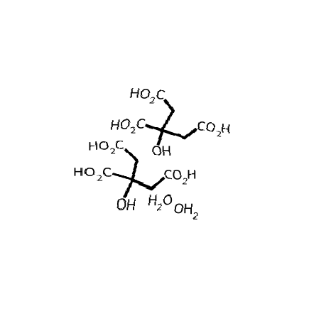 O.O.O=C(O)CC(O)(CC(=O)O)C(=O)O.O=C(O)CC(O)(CC(=O)O)C(=O)O